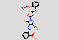 CCOc1ccccc1NC(=O)CC(=O)N1N=C(C)C(/N=N/c2ccccc2C(=O)O)C1=O